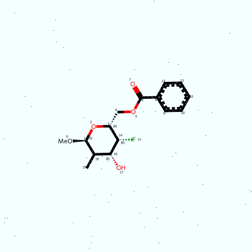 CO[C@H]1O[C@H](COC(=O)c2ccccc2)[C@H](F)[C@H](O)C1C